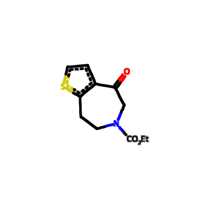 CCOC(=O)N1CCc2sccc2C(=O)C1